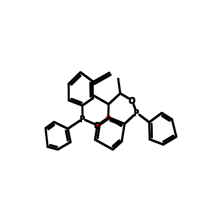 C=CCC(C(C)OP(c1ccccc1)c1ccccc1)C(C)OP(c1ccccc1)c1ccccc1